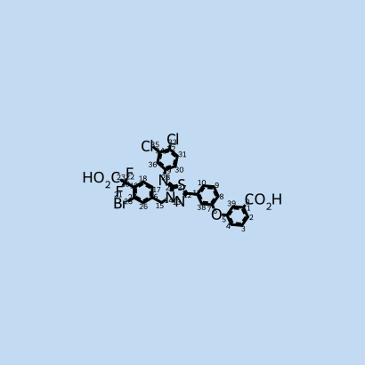 O=C(O)c1cccc(Oc2cccc(-c3nn(Cc4ccc(C(F)(F)C(=O)O)c(Br)c4)c(=Nc4ccc(Cl)c(Cl)c4)s3)c2)c1